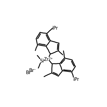 CC1=Cc2c(C(C)C)ccc(C)c2[CH]1[Zr+2]([CH]1C(C)=Cc2c(C(C)C)ccc(C)c21)=[Si](C)C.[Br-].[Br-]